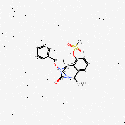 CCOC(=O)C1c2cccc(OS(=O)(=O)C(F)(F)F)c2[C@H]2CN1C(=O)N2OCc1ccccc1